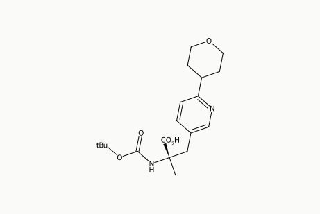 CC(C)(C)OC(=O)N[C@@](C)(Cc1ccc(C2CCOCC2)nc1)C(=O)O